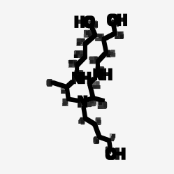 CC(CN(CCCCO)C(C)CNCCCCO)NCCCCO